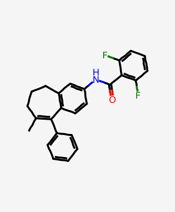 CC1=C(c2ccccc2)c2ccc(NC(=O)c3c(F)cccc3F)cc2CCC1